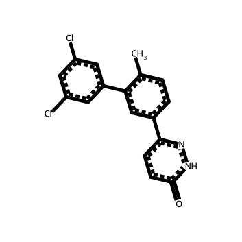 Cc1ccc(-c2ccc(=O)[nH]n2)cc1-c1cc(Cl)cc(Cl)c1